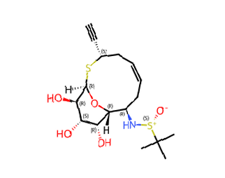 C#C[C@@H]1CC=CC[C@@H](N[S@+]([O-])C(C)(C)C)[C@H]2O[C@H](S1)[C@H](O)[C@@H](O)[C@H]2O